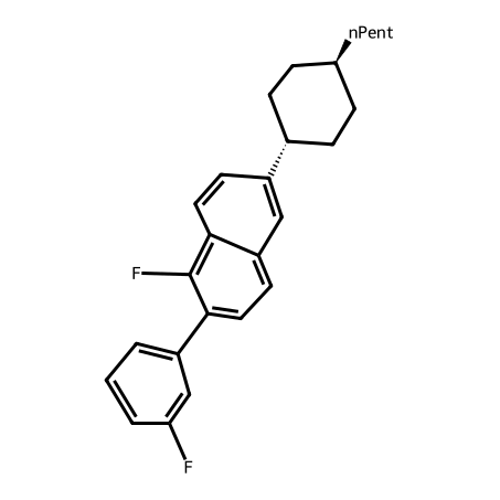 CCCCC[C@H]1CC[C@H](c2ccc3c(F)c(-c4cccc(F)c4)ccc3c2)CC1